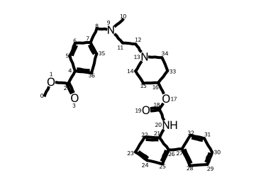 COC(=O)c1ccc(CN(C)CCN2CCC(OC(=O)Nc3ccccc3-c3ccccc3)CC2)cc1